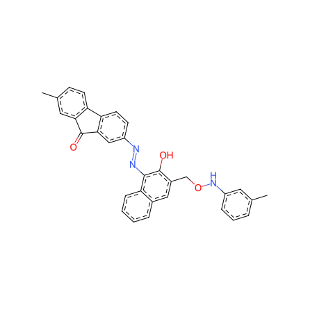 Cc1cccc(NOCc2cc3ccccc3c(N=Nc3ccc4c(c3)C(=O)c3cc(C)ccc3-4)c2O)c1